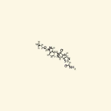 Cn1c2nc(CC(N)=O)sc2c2cnn(Cc3cccc4c3cnn4COCC[Si](C)(C)C)c(=O)c21